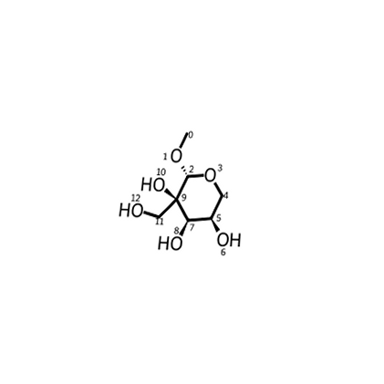 CO[C@@H]1OC[C@@H](O)[C@@H](O)[C@]1(O)CO